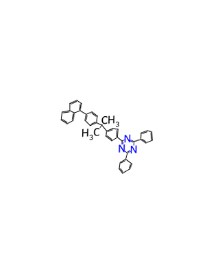 CC(C)(c1ccc(-c2nc(-c3ccccc3)nc(-c3ccccc3)n2)cc1)c1ccc(-c2cccc3ccccc23)cc1